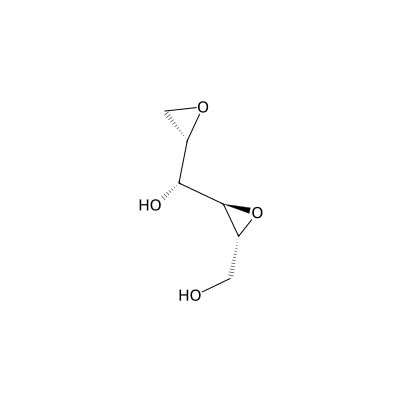 OC[C@H]1O[C@@H]1[C@H](O)[C@@H]1CO1